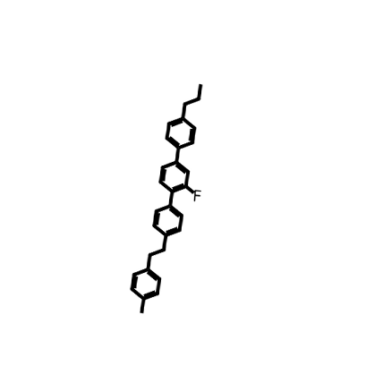 CCCc1ccc(-c2ccc(-c3ccc(CCc4ccc(C)cc4)cc3)c(F)c2)cc1